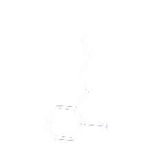 Nc1ccccc1NCCCBr